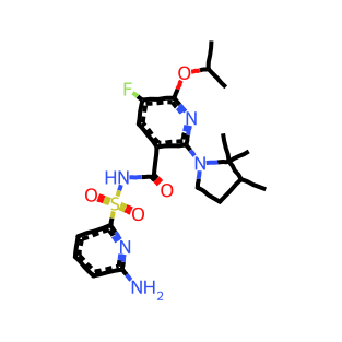 CC(C)Oc1nc(N2CCC(C)C2(C)C)c(C(=O)NS(=O)(=O)c2cccc(N)n2)cc1F